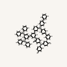 Cc1ccc(N(c2ccc(C)cc2)c2ccc(-c3cc(-c4cccc(N(c5ccc(-c6ccccc6)cc5)c5ccc(-c6ccccc6)cc5)c4)cc(-c4cc(N(c5ccccc5)c5ccccc5)cc(N(c5ccccc5)c5ccccc5)c4)c3)c(C)c2)cc1